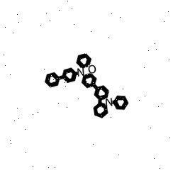 C1=Cc2c(c3cc(-c4ccc5c(c4)Oc4ccccc4N5c4ccc(-c5ccccc5)cc4)ccc3n2-c2ccccc2)CC1